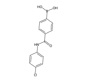 O=C(Nc1ccc(Cl)cc1)c1ccc(B(O)O)cc1